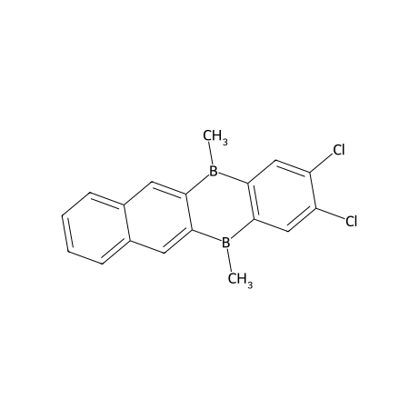 CB1c2cc(Cl)c(Cl)cc2B(C)c2cc3ccccc3cc21